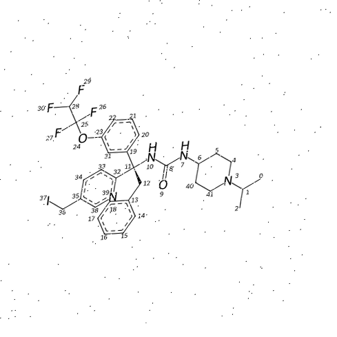 CC(C)N1CCC(NC(=O)N[C@@](Cc2ccccc2)(c2cccc(OC(F)(F)C(F)F)c2)c2ccc(CI)cn2)CC1